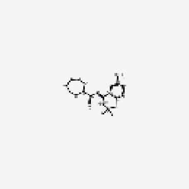 CC1(C)Cc2ccc([N+](=O)[O-])cc2/C(=C/C(=O)C2CCCCCC2)N1